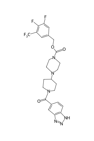 O=C(OCc1cc(F)c(F)c(C(F)(F)F)c1)N1CCN(C2CCN(C(=O)c3ccc4[nH]nnc4c3)CC2)CC1